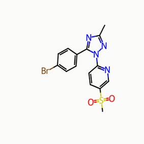 Cc1nc(-c2ccc(Br)cc2)n(-c2ccc(S(C)(=O)=O)cn2)n1